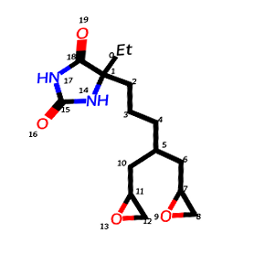 CCC1(CCCC(CC2CO2)CC2CO2)NC(=O)NC1=O